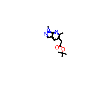 Cc1nc2c(cnn2C)cc1CC(=O)OC(C)(C)C